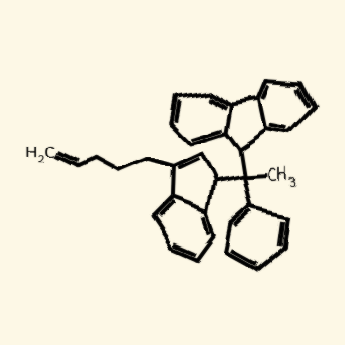 C=CCCCC1=CC(C(C)(c2ccccc2)C2c3ccccc3-c3ccccc32)c2ccccc21